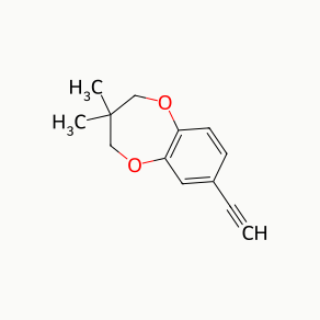 C#Cc1ccc2c(c1)OCC(C)(C)CO2